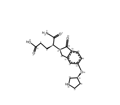 NC(=O)[C@H](CCC(=O)O)N1Cc2cc(O[C@H]3CCNC3)ccc2C1=O